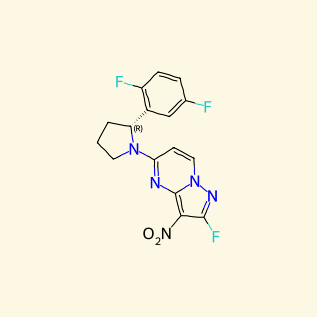 O=[N+]([O-])c1c(F)nn2ccc(N3CCC[C@@H]3c3cc(F)ccc3F)nc12